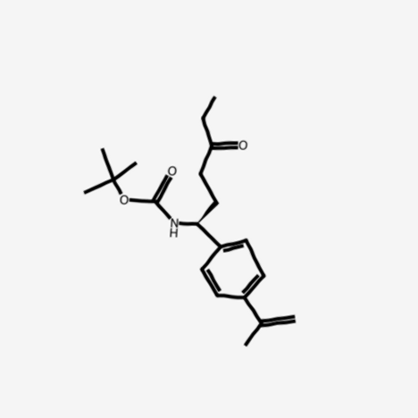 C=C(C)c1ccc([C@H](CCC(=O)CC)NC(=O)OC(C)(C)C)cc1